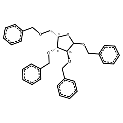 c1ccc(COC[C@@H]2SC(SCc3ccccc3)[C@@H](OCc3ccccc3)[C@@H]2OCc2ccccc2)cc1